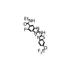 CCNC(=O)c1cc2nc(Nc3nc4ccc(OC(F)(F)F)cc4s3)n(C)c2cc1F